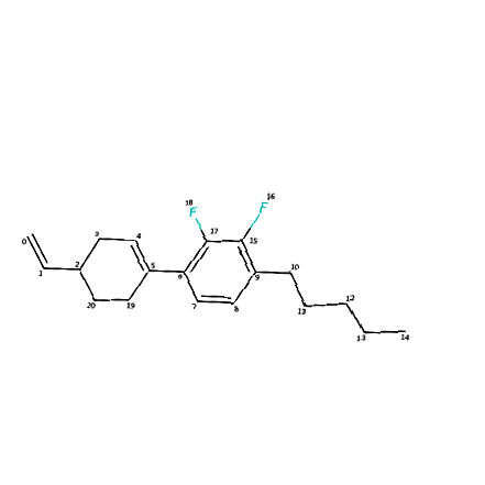 C=CC1CC=C(c2ccc(CCCCC)c(F)c2F)CC1